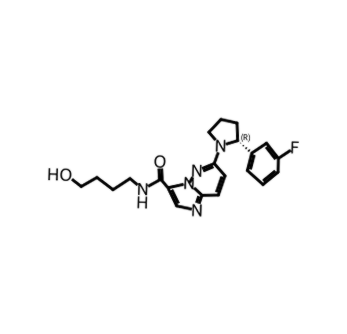 O=C(NCCCCO)c1cnc2ccc(N3CCC[C@@H]3c3cccc(F)c3)nn12